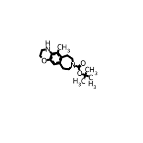 Cc1c2c(cc3c1NCCO3)CCN(C(=O)OC(C)(C)C)CC2